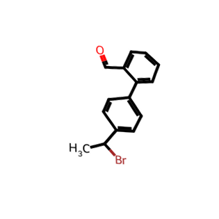 CC(Br)c1ccc(-c2ccccc2C=O)cc1